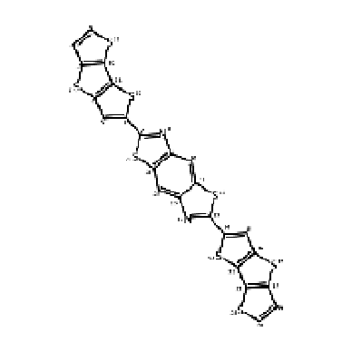 c1cc2sc3cc(-c4nc5cc6sc(-c7cc8sc9ccsc9c8s7)nc6cc5s4)sc3c2s1